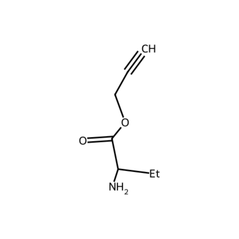 C#CCOC(=O)C(N)CC